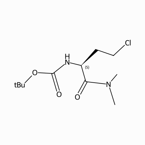 CN(C)C(=O)[C@H](CCCl)NC(=O)OC(C)(C)C